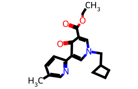 CCOC(=O)c1cn(CC2CCC2)cc(-c2ccc(C)cn2)c1=O